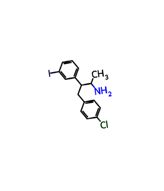 CC(N)C(Cc1ccc(Cl)cc1)c1cccc(I)c1